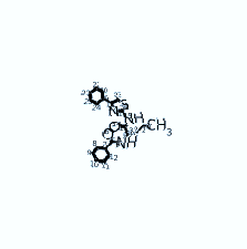 CCC[C@H](NC(=O)c1ccccc1)C(=O)Nc1nc(-c2ccccc2)cs1